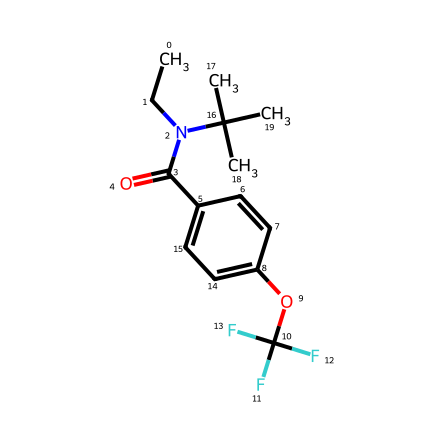 CCN(C(=O)c1ccc(OC(F)(F)F)cc1)C(C)(C)C